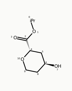 CC(C)OC(=O)[C@@H]1C[C@@H](O)CCO1